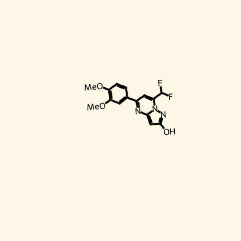 COc1ccc(-c2cc(C(F)F)n3nc(O)cc3n2)cc1OC